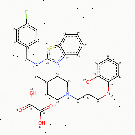 Fc1ccc(CN(CC2CCN(CC3COc4ccccc4O3)CC2)c2nc3ccccc3s2)cc1.O=C(O)C(=O)O